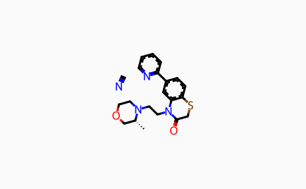 C#N.C[C@@H]1COCCN1CCN1C(=O)CSc2ccc(-c3ccccn3)cc21